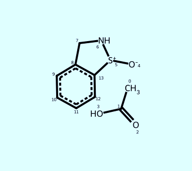 CC(=O)O.[O-][S+]1NCc2ccccc21